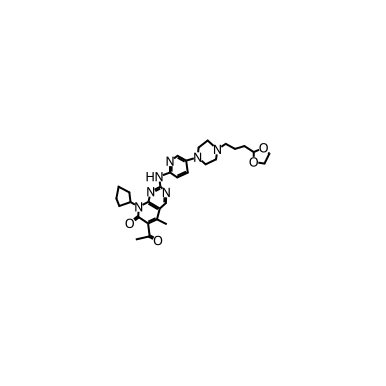 CC(=O)c1c(C)c2cnc(Nc3ccc(N4CCN(CCCC5OCCO5)CC4)cn3)nc2n(C2CCCC2)c1=O